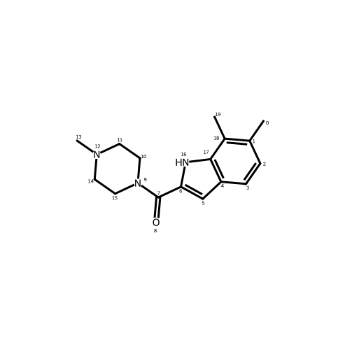 Cc1ccc2cc(C(=O)N3CCN(C)CC3)[nH]c2c1C